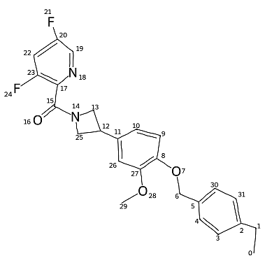 CCc1ccc(COc2ccc(C3CN(C(=O)c4ncc(F)cc4F)C3)cc2OC)cc1